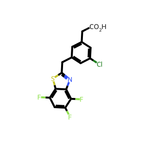 O=C(O)Cc1cc(Cl)cc(Cc2nc3c(F)c(F)cc(F)c3s2)c1